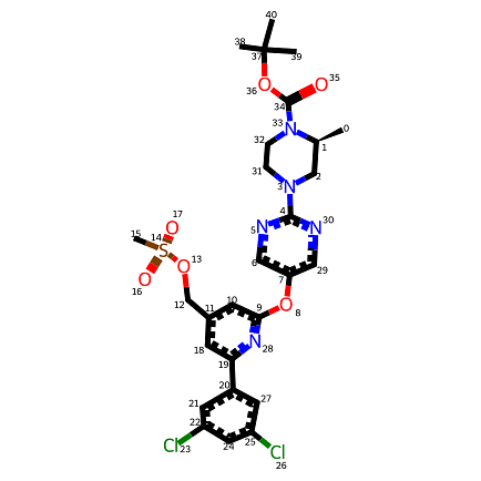 C[C@H]1CN(c2ncc(Oc3cc(COS(C)(=O)=O)cc(-c4cc(Cl)cc(Cl)c4)n3)cn2)CCN1C(=O)OC(C)(C)C